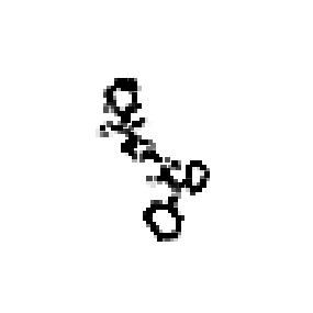 O=C(Nc1ncc(S(=O)(=O)c2ncccn2)s1)N(C1CCCCC1)C1CCCCC1